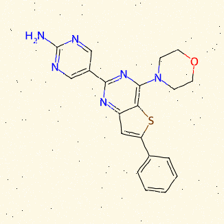 Nc1ncc(-c2nc(N3CCOCC3)c3sc(-c4ccccc4)cc3n2)cn1